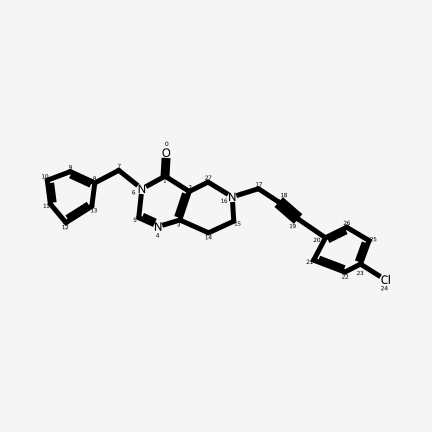 O=c1c2c(ncn1Cc1ccccc1)CCN(CC#Cc1ccc(Cl)cc1)C2